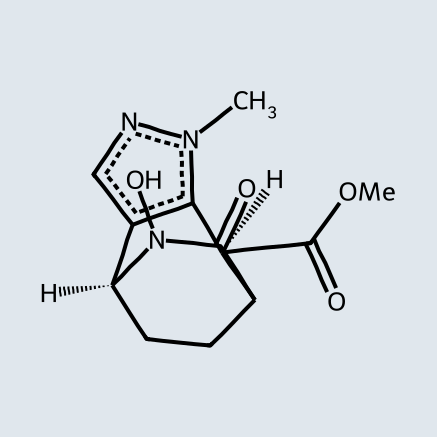 COC(=O)[C@@H]1c2c(cnn2C)[C@@H]2CCC1C(=O)N2O